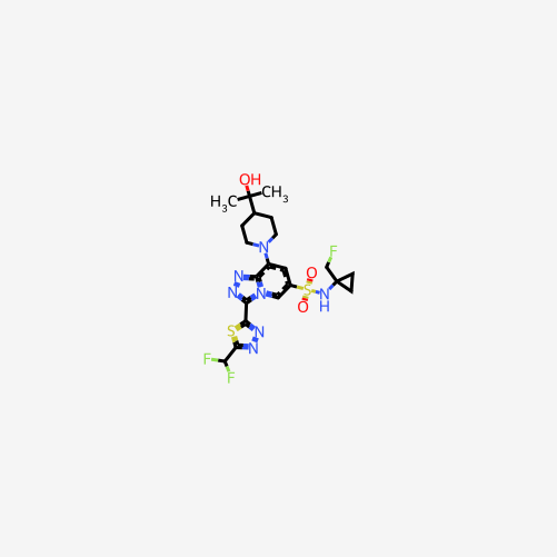 CC(C)(O)C1CCN(c2cc(S(=O)(=O)NC3(CF)CC3)cn3c(-c4nnc(C(F)F)s4)nnc23)CC1